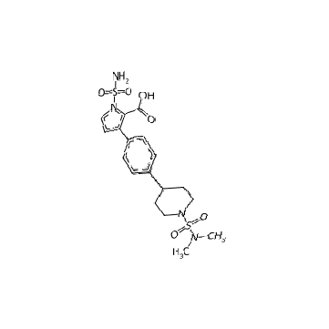 CN(C)S(=O)(=O)N1CCC(c2ccc(-c3ccn(S(N)(=O)=O)c3C(=O)O)cc2)CC1